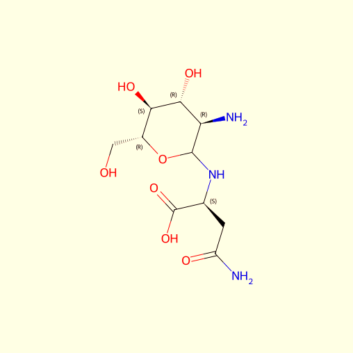 NC(=O)C[C@H](NC1O[C@H](CO)[C@@H](O)[C@H](O)[C@H]1N)C(=O)O